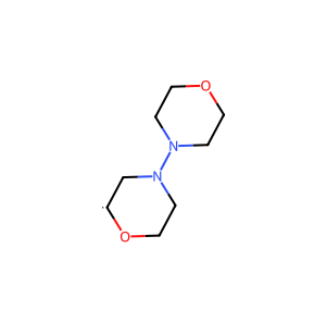 [CH]1CN(N2CCOCC2)CCO1